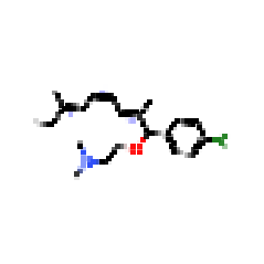 CC/C(C)=C/C=C\C=C(/C)C(OCCN(C)C)c1ccc(Cl)cc1